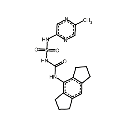 Cc1cnc(NS(=O)(=O)NC(=O)Nc2c3c(cc4c2CCC4)CCC3)cn1